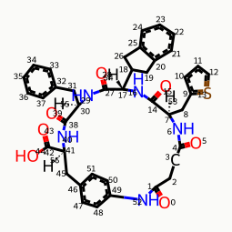 O=C1CCC(=O)N[C@H](Cc2cccs2)C(=O)N[C@@H](C2Cc3ccccc3C2)C(=O)N[C@H](Cc2ccccc2)C(=O)N[C@H](C(=O)O)Cc2ccc(cc2)N1